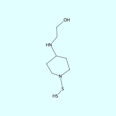 OCCNC1CCN(SS)CC1